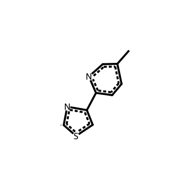 Cc1ccc(-c2cs[c]n2)nc1